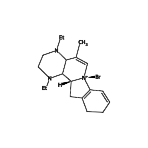 CCN1CCN(CC)C2C1C(C)=C[N@+]1(Br)C3=C(CCC=C3)C[C@H]21